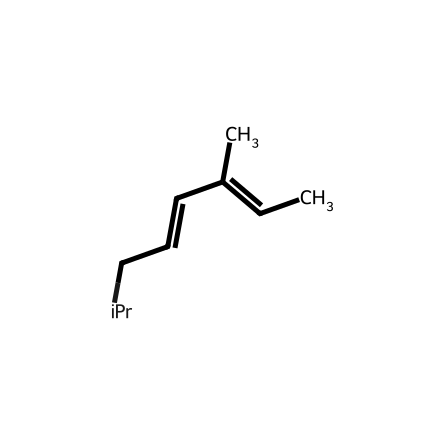 CC=C(C)C=CCC(C)C